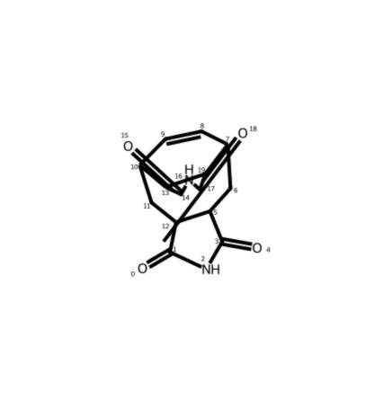 O=C1NC(=O)C2CC3C=CC(CC12)C1C(=O)NC(=O)C31